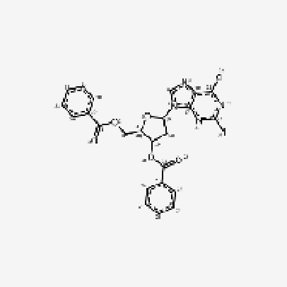 O=C(OC[C@H]1O[C@@H](n2cnc3c(Cl)nc(I)nc32)CC1OC(=O)c1ccccc1)c1ccccc1